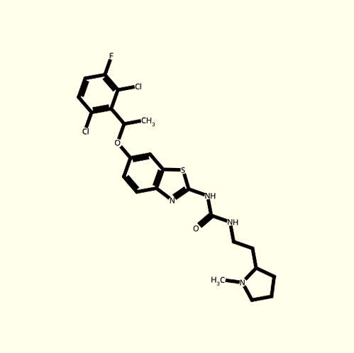 CC(Oc1ccc2nc(NC(=O)NCCC3CCCN3C)sc2c1)c1c(Cl)ccc(F)c1Cl